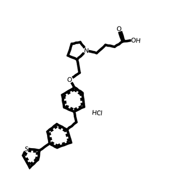 Cl.O=C(O)CCCN1CCCC1COc1ccc(Cc2ccc(-c3cccs3)cc2)cc1